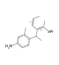 C/C=C\C(=C(/C)CCC)C(C)c1ccc(N)cc1C